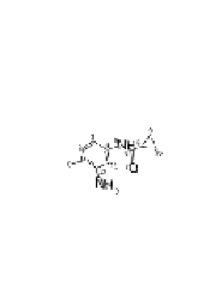 Cc1ccc(NC(=O)C2CC2)cc1N